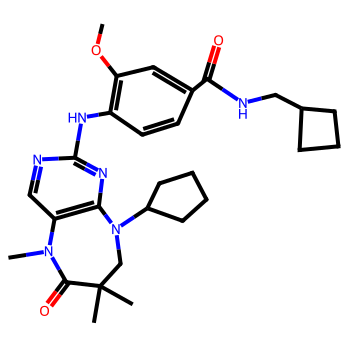 COc1cc(C(=O)NCC2CCC2)ccc1Nc1ncc2c(n1)N(C1CCCC1)CC(C)(C)C(=O)N2C